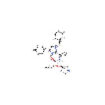 COCC(=O)N(C[C@@]1(O)CCNC1)[C@@H](c1nc(-c2ccccc2)cn1Cc1ccccc1)C(C)(C)C